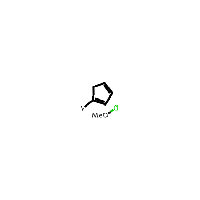 COCl.[V][C]1=CC=CC1